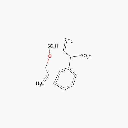 C=CC(c1ccccc1)S(=O)(=O)O.C=CCOS(=O)(=O)O